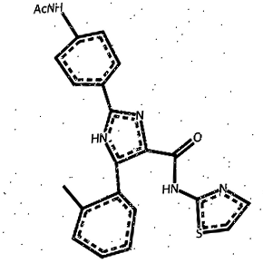 CC(=O)Nc1ccc(-c2nc(C(=O)Nc3nccs3)c(-c3ccccc3C)[nH]2)cc1